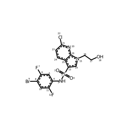 O=S(=O)(Nc1cc(F)c(Br)cc1F)c1cn(CCO)c2nc(Cl)ccc12